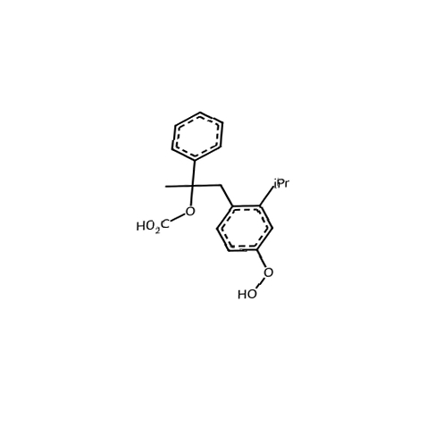 CC(C)c1cc(OO)ccc1CC(C)(OC(=O)O)c1ccccc1